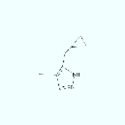 Cc1cn[nH]c1CC1CC1